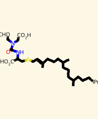 C/C(=C\CSCC(NC(=O)N(CC=O)CC(=O)O)C(=O)O)CCCC(C)CCCC(C)CCCC(C)C